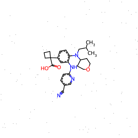 CC(C)CN(c1ccc(C2(C(=O)O)CCC2)cc1Nc1ccc(C#N)cn1)C1CCOCC1